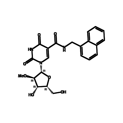 CO[C@@H]1[C@@H](O)[C@@H](CO)O[C@H]1n1cc(C(=O)NCc2cccc3ccccc23)c(=O)[nH]c1=O